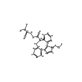 CSCn1nnc2c1-c1ccccc1N(C(=O)CCC(=O)C(C)C)Cc1ccccc1-2